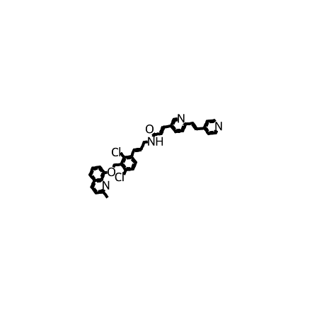 Cc1ccc2cccc(OCc3c(Cl)ccc(C=CCNC(=O)C=Cc4ccc(C=Cc5ccncc5)nc4)c3Cl)c2n1